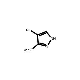 COc1n[nH]cc1C#N